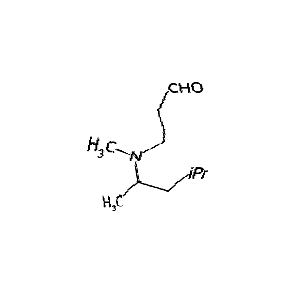 CC(C)CC(C)N(C)CCC=O